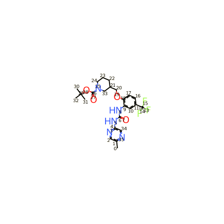 Cc1cnc(NC(=O)Nc2cc(C(F)(F)F)ccc2OCC2CCCN(C(=O)OC(C)(C)C)C2)cn1